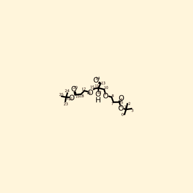 CC(C)(C)OC(=O)CCOCC(O)(C=O)COCCC(=O)OC(C)(C)C